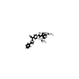 COc1ncc(OC)c2c(C(=O)C(=O)N3CCC(=C(C#N)c4nnc(-c5ccccc5)o4)CC3)c[nH]c12